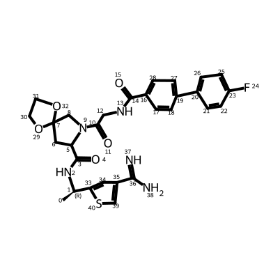 C[C@@H](NC(=O)C1CC2(CN1C(=O)CNC(=O)c1ccc(-c3ccc(F)cc3)cc1)OCCO2)c1cc(C(=N)N)cs1